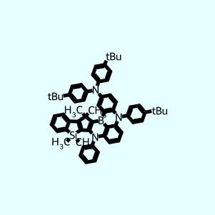 CC1(C)C2=C(C3=C1c1ccccc1[Si]3(C)C)N(c1ccccc1)c1cccc3c1B2c1cc(N(c2ccc(C(C)(C)C)cc2)c2ccc(C(C)(C)C)cc2)ccc1N3c1ccc(C(C)(C)C)cc1